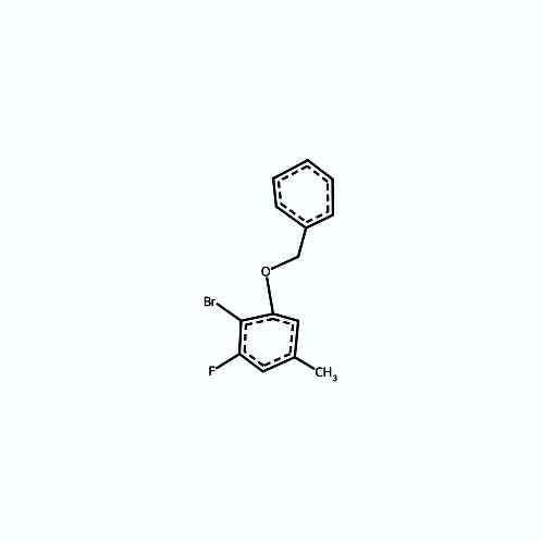 Cc1cc(F)c(Br)c(OCc2ccccc2)c1